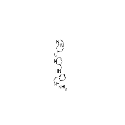 Nc1nccc2c(NCc3ccc(OC4CCn5ccnc5C4)nc3)cccc12